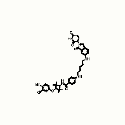 CC1(C)[C@H](NC(=O)c2ccc(NCCCCCNc3ccc4c(c3)C(=O)N(C3CCC(=O)NC3=O)C4)cc2)C(C)(C)[C@H]1Oc1ccc(C#N)c(Cl)c1